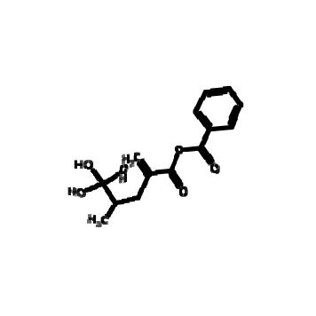 C=C(CC(C)C(O)(O)O)C(=O)OC(=O)c1ccccc1